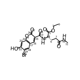 CCOC(=O)[C@H](CCC(=O)NC)NC(=O)c1cc2cc(Br)c(O)cc2oc1=O